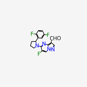 O=Cc1cnn2cc(F)c(N3CCCC3c3cc(F)ccc3F)nc12